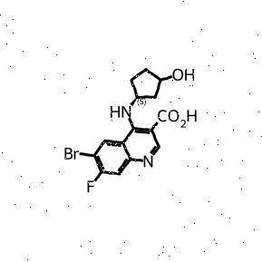 O=C(O)c1cnc2cc(F)c(Br)cc2c1N[C@H]1CCC(O)C1